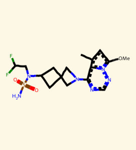 COc1cc(C)c2c(N3CC4(CC(N(CC(F)F)S(N)(=O)=O)C4)C3)ncnn12